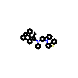 C[Si]1(C)c2ccccc2C2(c3ccccc3-c3cccc4cccc2c34)c2ccc(N(c3ccccc3)c3ccc4c5ccccc5n(-c5cccc6sc7ccccc7c56)c4c3)cc21